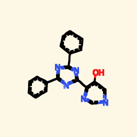 Oc1cncnc1-c1nc(-c2ccccc2)nc(-c2ccccc2)n1